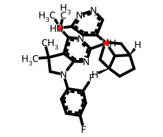 CNc1nc(NC2[C@@H]3CC[C@H]2CN(c2cnnc(OC)c2)C3)nc2c1C(C)(C)CN2c1ccc(F)cc1F